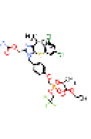 CCOC(=O)[C@H](C)OP(=O)(COc1ccc(Cn2c(COC(N)=O)nc(C(C)C)c2Sc2cc(Cl)cc(Cl)c2)cc1)OCC(F)(F)F